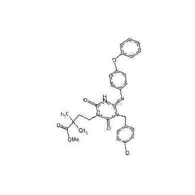 COC(=O)C(C)(C)CCn1c(=O)[nH]/c(=N\c2ccc(Oc3ccccc3)cc2)n(Cc2ccc(Cl)cc2)c1=O